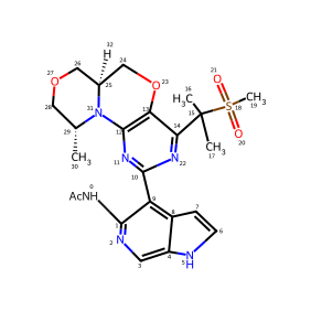 CC(=O)Nc1ncc2[nH]ccc2c1-c1nc2c(c(C(C)(C)S(C)(=O)=O)n1)OC[C@@H]1COC[C@@H](C)N21